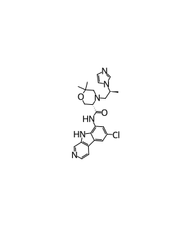 C[C@@H](CN1CC(C)(C)OC[C@H]1C(=O)Nc1cc(Cl)cc2c1[nH]c1cnccc12)n1ccnc1